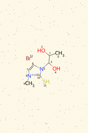 CC(O)C(O)n1cc[n+](C)c1S.[Br-]